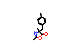 CC1=NC(C)(Cc2ccc(C)cc2)C(=O)O1